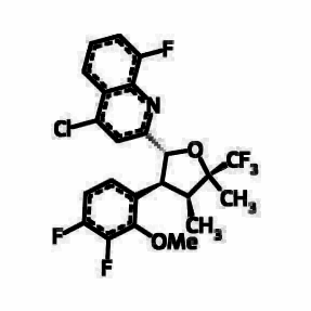 COc1c([C@H]2[C@H](c3cc(Cl)c4cccc(F)c4n3)O[C@@](C)(C(F)(F)F)[C@H]2C)ccc(F)c1F